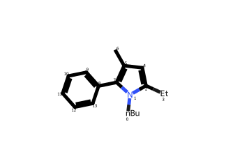 CCCCn1c(CC)cc(C)c1-c1ccccc1